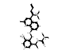 C=C/C=C(/c1cc(C)nc2c(OCc3c(N)cncc3C(C)OC(=O)N(C)C)cccc12)N(C)C